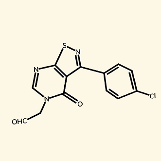 O=CCn1cnc2snc(-c3ccc(Cl)cc3)c2c1=O